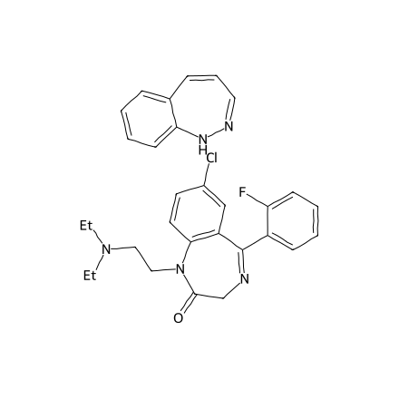 C1=Cc2ccccc2NN=C1.CCN(CC)CCN1C(=O)CN=C(c2ccccc2F)c2cc(Cl)ccc21